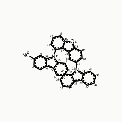 N#Cc1ccc2c3ccccc3n(-c3cccc4oc5ccc(-n6c7ccccc7c7ccccc76)cc5c34)c2c1